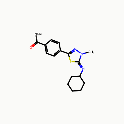 CNC(=O)c1ccc(-c2nn(C)c(=NC3CCCCC3)s2)cc1